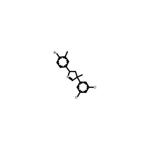 Cc1cc(C2CC(C)(c3cc(Cl)cc(Cl)c3)C=N2)ccc1Br